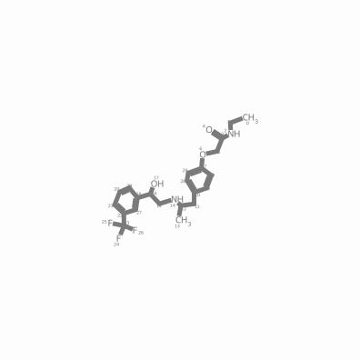 CCNC(=O)COc1ccc(CC(C)NCC(O)c2cccc(C(F)(F)F)c2)cc1